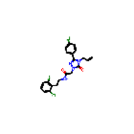 C=CCn1c(-c2ccc(Cl)cc2)nn(CC(=O)NCCc2c(Cl)cccc2Cl)c1=O